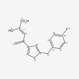 O=C(O)/C(O)=C/C(=O)c1csc(Cc2ccc(F)cc2)c1